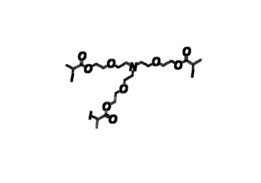 CC(I)C(=O)OCCOCCN(CCOCCOC(=O)C(C)I)CCOCCOC(=O)C(C)I